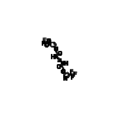 O=C(COc1cncc(C(F)(F)F)c1)NC12CC(NC(=O)COc3ccc4c(c3)OC(F)(F)O4)(C1)C2